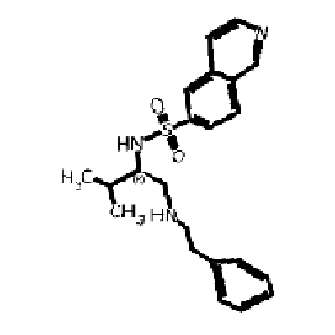 CC(C)[C@H](CNCCc1ccccc1)NS(=O)(=O)c1ccc2cnccc2c1